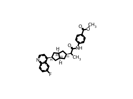 COC(=O)c1ccc(NC(=O)C(C)[C@H]2C[C@H]3C[C@@H](c4ccnc5ccc(F)cc45)C[C@H]3C2)cc1